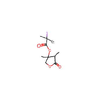 CCC(C)(I)C(=O)OC1(C)COC(=O)C1C